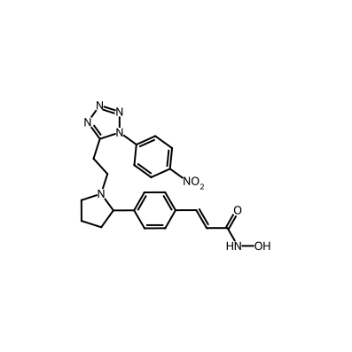 O=C(C=Cc1ccc(C2CCCN2CCc2nnnn2-c2ccc([N+](=O)[O-])cc2)cc1)NO